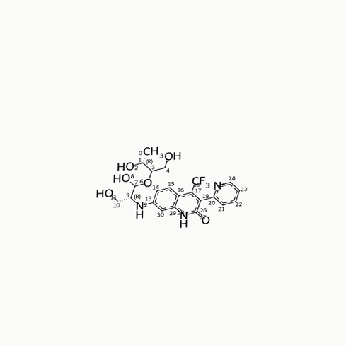 C[C@@H](O)C(CO)OC(O)[C@@H](CO)Nc1ccc2c(C(F)(F)F)c(-c3ccccn3)c(=O)[nH]c2c1